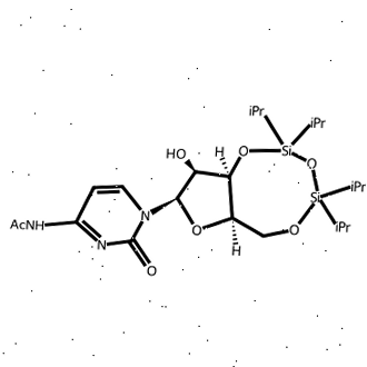 CC(=O)Nc1ccn([C@@H]2O[C@@H]3CO[Si](C(C)C)(C(C)C)O[Si](C(C)C)(C(C)C)O[C@@H]3[C@@H]2O)c(=O)n1